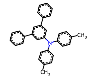 Cc1ccc(N(c2ccc(C)cc2)c2cc(-c3ccccc3)cc(-c3ccccc3)c2)cc1